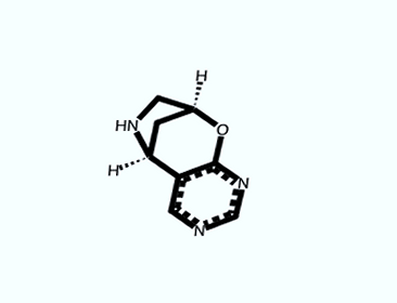 c1ncc2c(n1)O[C@@H]1CN[C@H]2C1